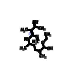 C=N/C(NC(C)CCN(C)C(O)OCC)=C(/C)C(C)=N